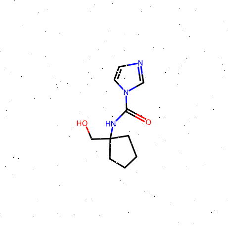 O=C(NC1(CO)CCCC1)n1ccnc1